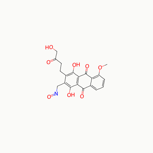 COc1cccc2c1C(=O)c1c(O)c(CCC(=O)CO)c(CN=O)c(O)c1C2=O